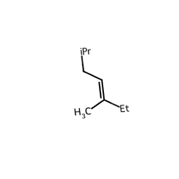 CC/C(C)=C/CC(C)C